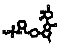 CS(=O)(=O)Nc1ccccc1CN1CCN(c2cc(F)cc3c2CN(C2CCC(=O)NC2=O)C3=O)CC1